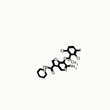 C[C@@H](Oc1c(N)ncc2c(C(=O)NN3CCCCC3)coc12)c1c(Cl)ccc(F)c1Cl